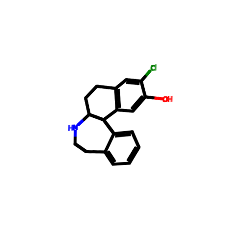 Oc1cc2c(cc1Cl)CCC1NCCc3ccccc3C21